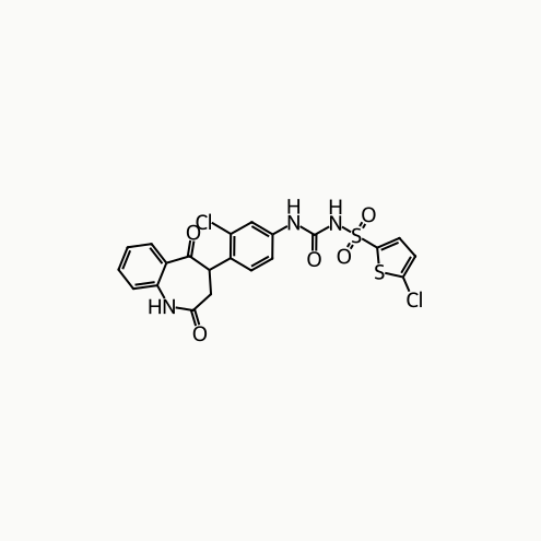 O=C1CC(c2ccc(NC(=O)NS(=O)(=O)c3ccc(Cl)s3)cc2Cl)C(=O)c2ccccc2N1